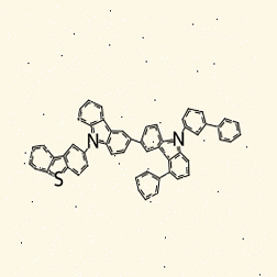 c1ccc(-c2cccc(-n3c4ccc(-c5ccc6c(c5)c5ccccc5n6-c5ccc6sc7ccccc7c6c5)cc4c4c(-c5ccccc5)cccc43)c2)cc1